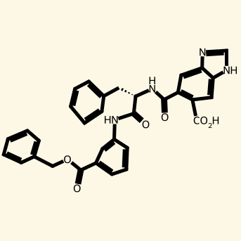 O=C(OCc1ccccc1)c1cccc(NC(=O)[C@H](Cc2ccccc2)NC(=O)c2cc3nc[nH]c3cc2C(=O)O)c1